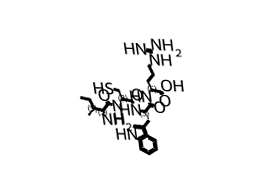 CC[C@H](C)[C@H](N)C(=O)N[C@@H](CS)C(=O)N[C@@H](Cc1c[nH]c2ccccc12)C(=O)N[C@@H](CCCNC(=N)N)C(=O)O